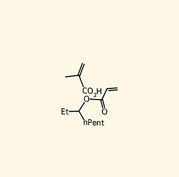 C=C(C)C(=O)O.C=CC(=O)OC(CC)CCCCC